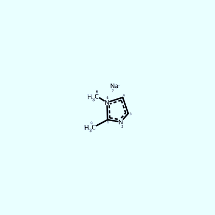 Cc1nccn1C.[Na]